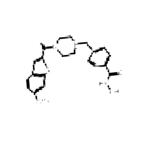 COc1ccc2cc(C(=O)N3CCN(Cc4ccc(C(=O)NO)cc4)CC3)sc2c1